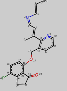 C\C(=C/C=N\C=C\C(C)C)c1ncccc1COc1ccc(F)c2c1C(=O)CC2